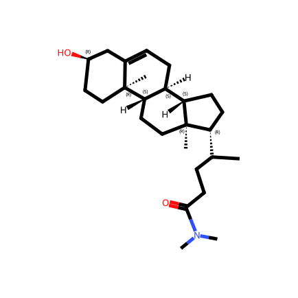 CC(CCC(=O)N(C)C)[C@H]1CC[C@H]2[C@@H]3CC=C4C[C@H](O)CC[C@]4(C)[C@H]3CC[C@]12C